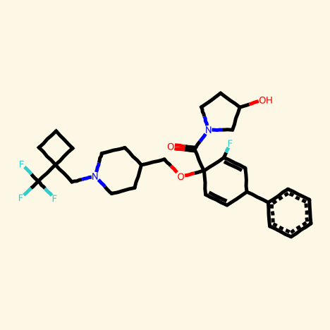 O=C(N1CCC(O)C1)C1(OCC2CCN(CC3(C(F)(F)F)CCC3)CC2)C=CC(c2ccccc2)C=C1F